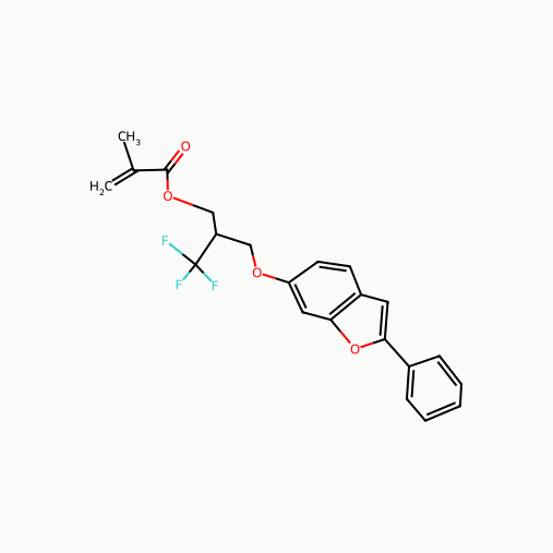 C=C(C)C(=O)OCC(COc1ccc2cc(-c3ccccc3)oc2c1)C(F)(F)F